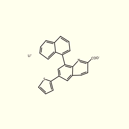 O=C([O-])c1ccc2cc(-c3cccs3)cc(-c3cccc4ccccc34)c2n1.[Li+]